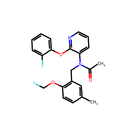 CC(=O)N(Cc1cc(C)ccc1OCF)c1cccnc1Oc1ccccc1F